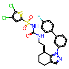 O=C(NCC=C1CCCc2cnn(-c3cccc(-c4ccc(F)cc4)c3)c21)NS(=O)(=O)c1cc(Cl)c(Cl)s1